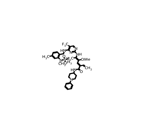 C=C/C(=C\C(OC)=C(/C)Nc1ncc(C(F)(F)F)c(NCc2ccc(C)cc2N(C)S(C)(=O)=O)n1)C(=O)NC1CCN(c2ccccc2)CC1